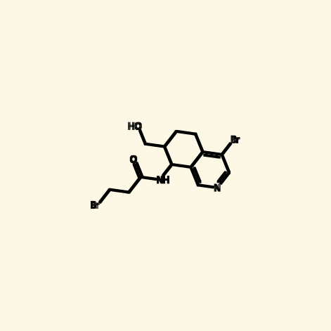 O=C(CCBr)NC1c2cncc(Br)c2CCC1CO